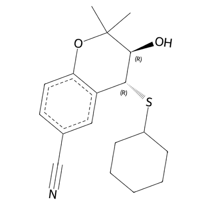 CC1(C)Oc2ccc(C#N)cc2[C@@H](SC2CCCCC2)[C@@H]1O